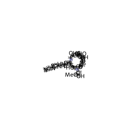 CO[C@@H]1C[C@H](/C=C(\C)[C@H]2OC(=O)[C@@H]3CCCCN3C(=O)C(=O)[C@]3(O)O[C@H]([C@@H](C=O)C[C@@H](C)C/C(C)=C/[C@@H](CCOC(=O)NCCNc4ccc5sc(-c6ccc(N(C)C)cc6)nc5c4)C(=O)C[C@H](O)[C@H]2C)[C@@H](C=O)C[C@H]3C)CC[C@H]1O